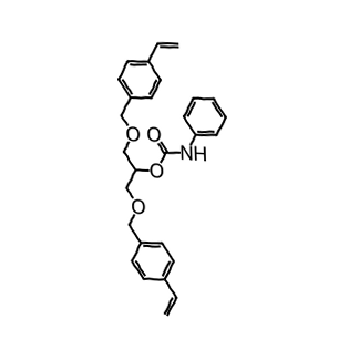 C=Cc1ccc(COCC(COCc2ccc(C=C)cc2)OC(=O)Nc2ccccc2)cc1